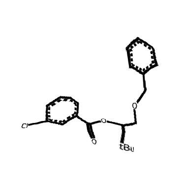 CC(C)(C)C(COCc1ccccc1)OC(=O)c1cccc(Cl)c1